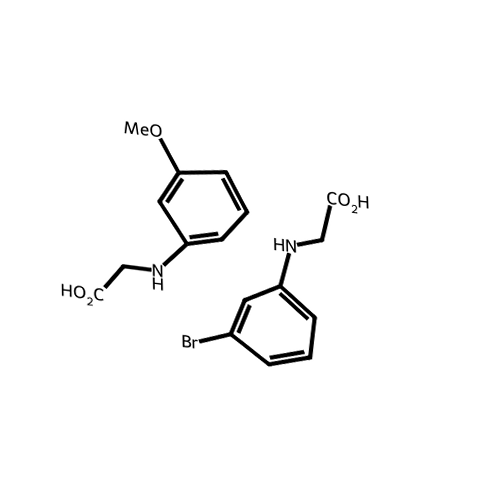 COc1cccc(NCC(=O)O)c1.O=C(O)CNc1cccc(Br)c1